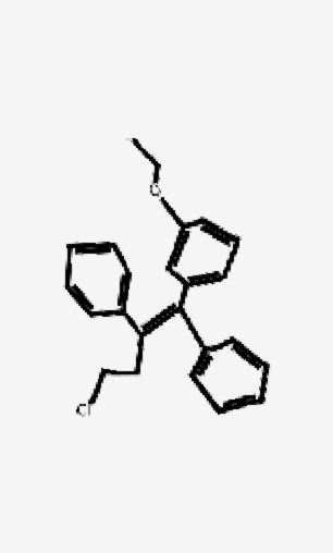 [CH2]COc1cccc(/C(=C(/CCCl)c2ccccc2)c2ccccc2)c1